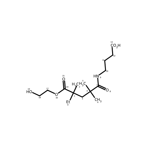 CCC(C)(CC(C)(C)C(=O)NCCCC(=O)O)C(=O)OCCO